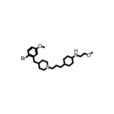 COCCNC1CCC(CCCN2CCC(Cc3cc(OC)ccc3Br)CC2)CC1